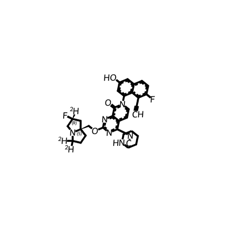 [2H]C1([2H])CC[C@@]2(COc3nc(N4CC5CCC4CN5)c4ccn(-c5cc(O)cc6ccc(F)c(C#C)c56)c(=O)c4n3)C[C@@]([2H])(F)CN12